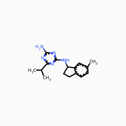 Cc1ccc2c(c1)C(Nc1nc(N)nc(C(C)C)n1)CC2